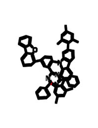 Cc1cc(C)c(-c2ccc3c4ccc(-c5c(C)cc(C)cc5C)cc4n(-c4ccc(-c5cccc6c5oc5ccccc56)cc4-c4nc(-c5ccccc5)nc(-c5ccccc5)n4)c3c2)c(C)c1